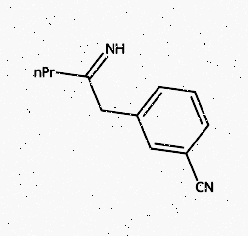 CCCC(=N)Cc1cccc(C#N)c1